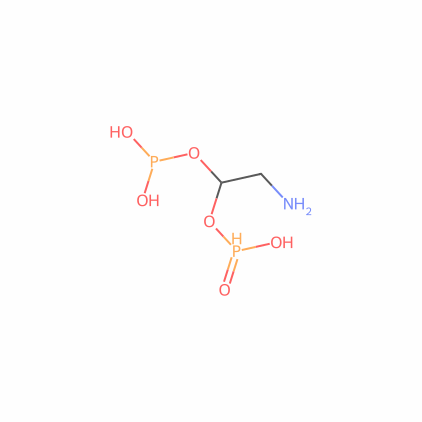 NCC(OP(O)O)O[PH](=O)O